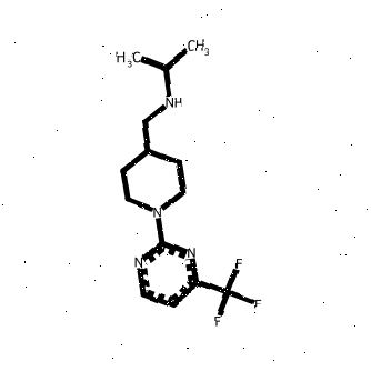 CC(C)NCC1CCN(c2nccc(C(F)(F)F)n2)CC1